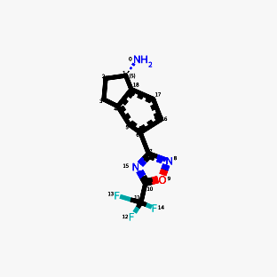 N[C@H]1CCc2cc(-c3noc(C(F)(F)F)n3)ccc21